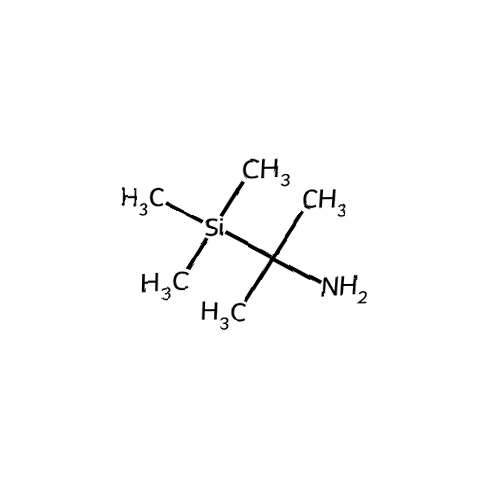 CC(C)(N)[Si](C)(C)C